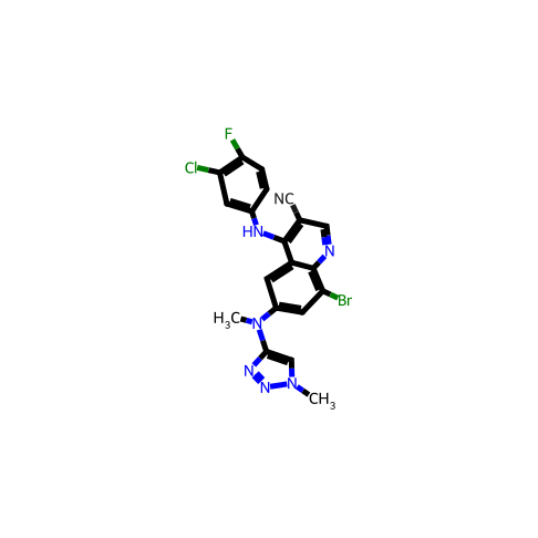 CN(c1cc(Br)c2ncc(C#N)c(Nc3ccc(F)c(Cl)c3)c2c1)c1cn(C)nn1